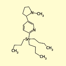 CCC[CH2][Sn]([CH2]CCC)([CH2]CCC)[c]1ccc(C2CCCN2C)cn1